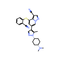 Cc1c(-c2cc(Sc3ccccc3C#N)c3c(C#N)cnn3c2)cnn1[C@H]1CC[C@@H](N(C)C)CC1